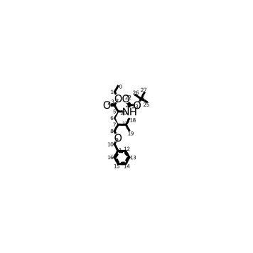 CCOC(=O)[C@H](C[C@H](COCc1ccccc1)C(C)C)NC(=O)OC(C)(C)C